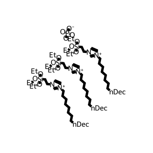 CCCCCCCCCCCCCCCCCC[n+]1ccn(CC[Si](OCC)(OCC)OCC)c1.CCCCCCCCCCCCCCCCCC[n+]1ccn(CC[Si](OCC)(OCC)OCC)c1.CCCCCCCCCCCCCCCCCC[n+]1ccn(CC[Si](OCC)(OCC)OCC)c1.O=P([O-])([O-])[O-]